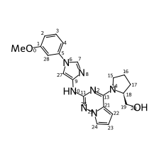 COc1cccc(-n2cnc(Nc3nc(N4CCC[C@H]4CO)c4cccn4n3)c2)c1